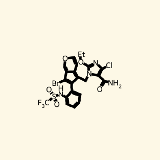 CCOc1nc(Cl)c(C(N)=O)n1Cc1c2ccocc-2c(Br)c1-c1ccccc1NS(=O)(=O)C(F)(F)F